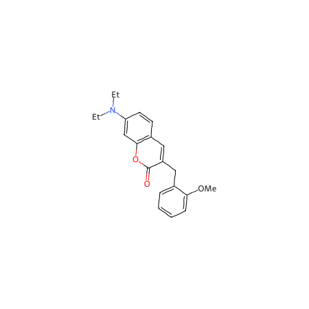 CCN(CC)c1ccc2cc(Cc3ccccc3OC)c(=O)oc2c1